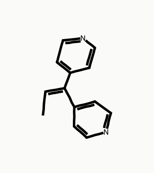 CC=C(c1ccncc1)c1ccncc1